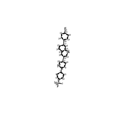 C[Si](C)(C)c1ccc(-c2ccc(-c3cnc4cc(-c5ccc(F)cc5)ccc4c3)cn2)cc1